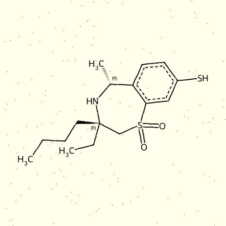 CCCC[C@]1(CC)CS(=O)(=O)c2cc(S)ccc2[C@@H](C)N1